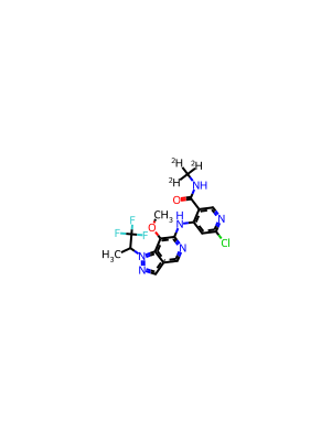 [2H]C([2H])([2H])NC(=O)c1cnc(Cl)cc1Nc1ncc2cnn(C(C)C(F)(F)F)c2c1OC